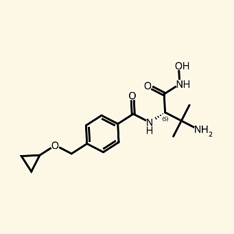 CC(C)(N)[C@H](NC(=O)c1ccc(COC2CC2)cc1)C(=O)NO